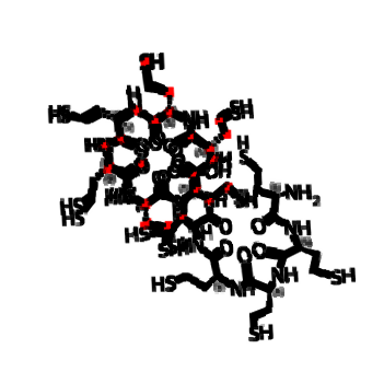 N[C@@H](CCS)C(=O)N[C@@H](CCS)C(=O)N[C@@H](CCS)C(=O)N[C@@H](CCS)C(=O)N[C@@H](CCS)C(=O)N[C@@H](CCS)C(=O)N[C@@H](CCS)C(=O)N[C@@H](CCS)C(=O)N[C@@H](CCS)C(=O)N[C@@H](CCS)C(=O)N[C@@H](CCS)C(=O)N[C@@H](CCS)C(=O)N[C@@H](CCS)C(=O)N[C@@H](CCS)C(=O)N[C@@H](CCS)C(=O)N[C@@H](CCS)C(=O)N[C@@H](CCS)C(=O)N[C@@H](CCS)C(=O)O